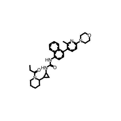 CCC(=O)N1CCCCC1C1CC1NC(=O)Nc1ccc(-c2ccc(N3CCOCC3)nc2C)c2ccccc12